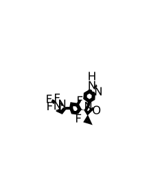 O=C1[C@H](C2CC2)[C@H](c2c(F)cc(-c3ccn(C(F)(F)F)n3)cc2F)N1c1ccc2[nH]cnc2c1